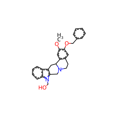 COc1cc2c(cc1OCc1ccccc1)CCN1Cc3c(c4ccccc4n3CO)CC21